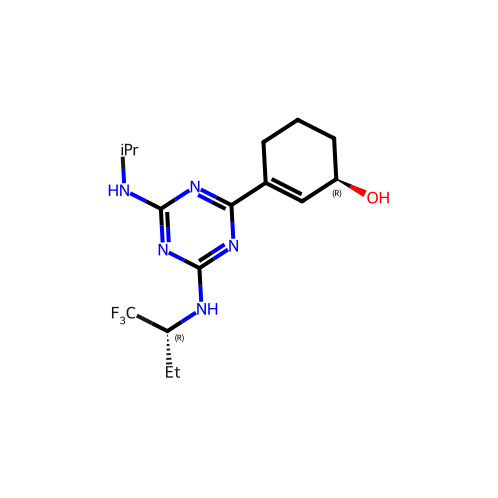 CC[C@@H](Nc1nc(NC(C)C)nc(C2=C[C@H](O)CCC2)n1)C(F)(F)F